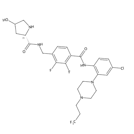 O=C(Nc1ccc(Cl)cc1N1CCN(CCC(F)(F)F)CC1)c1ccc(CNC(=O)[C@@H]2CC(O)CN2)c(F)c1F